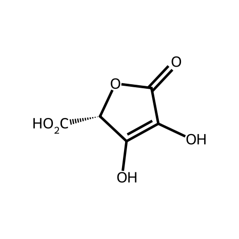 O=C1O[C@@H](C(=O)O)C(O)=C1O